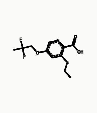 CCSc1cc(OCC(C)(F)F)cnc1C(=O)O